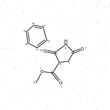 COC(=O)C1CC(=O)NC1=O.c1ccccc1